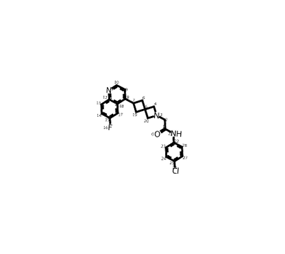 O=C(CN1CC2(CC(c3ccnc4ccc(F)cc34)C2)C1)Nc1ccc(Cl)cc1